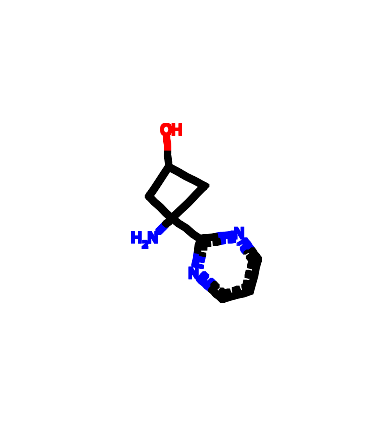 NC1(c2ncccn2)CC(O)C1